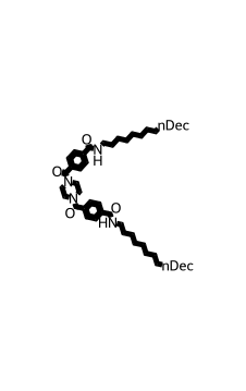 CCCCCCCCCCCCCCCCCCNC(=O)c1ccc(C(=O)N2CCN(C(=O)c3ccc(C(=O)NCCCCCCCCCCCCCCCCCC)cc3)CC2)cc1